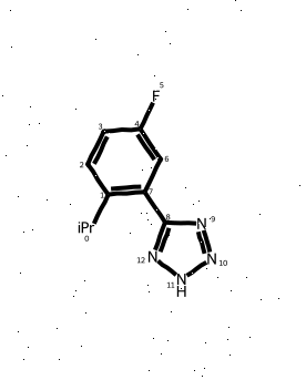 CC(C)c1ccc(F)cc1-c1nn[nH]n1